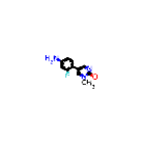 Cn1cc(-c2ccc(N)cc2F)cnc1=O